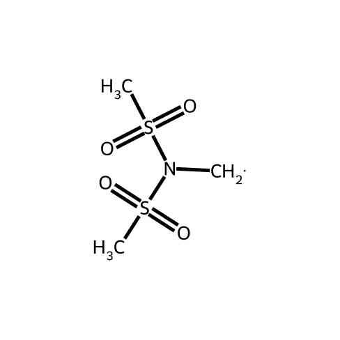 [CH2]N(S(C)(=O)=O)S(C)(=O)=O